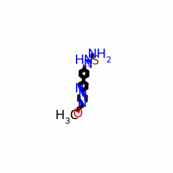 COCCN1CCN(c2ccc(-c3ccc(/C=N/NC(N)=S)cc3)cn2)CC1